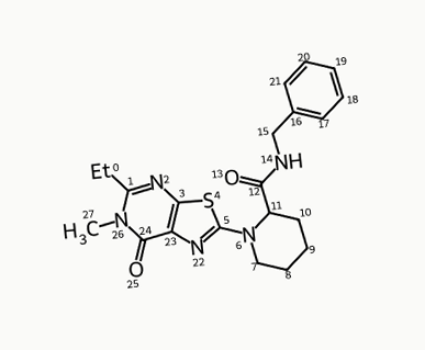 CCc1nc2sc(N3CCCCC3C(=O)NCc3ccccc3)nc2c(=O)n1C